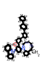 C=C1/C=C\C=C/CN(c2ccc(-n3c4ccccc4c4ccccc43)c3oc4ccc(-c5cccc(-c6ccc(-c7ccccc7)cc6)c5)cc4c23)c2ccccc21